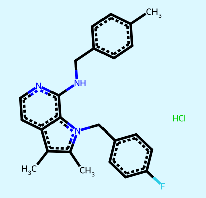 Cc1ccc(CNc2nccc3c(C)c(C)n(Cc4ccc(F)cc4)c23)cc1.Cl